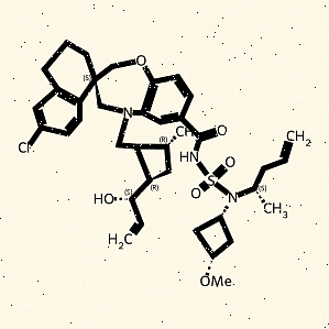 C=CC[C@H](C)N([C@H]1C[C@@H](OC)C1)S(=O)(=O)NC(=O)c1ccc2c(c1)N(CC1[C@H](C)C[C@H]1[C@@H](O)C=C)C[C@@]1(CCCc3cc(Cl)ccc31)CO2